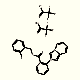 O=C(NCc1ccccc1F)c1cnccc1-[n+]1cc2ccccn2c1.O=C(O)C(F)(F)F.O=C([O-])C(F)(F)F